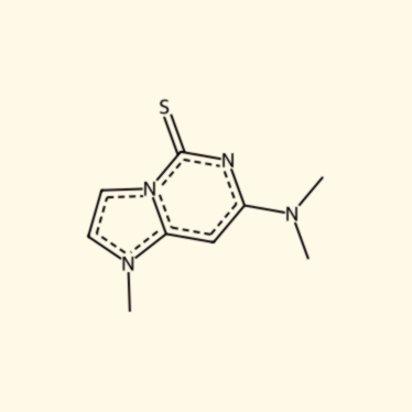 CN(C)c1cc2n(C)ccn2c(=S)n1